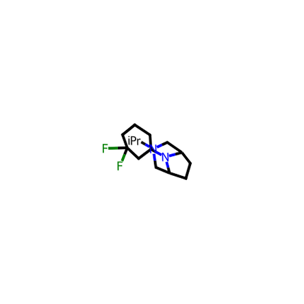 CC(C)N1CC2CCC(C1)N2C1CCCC(F)(F)C1